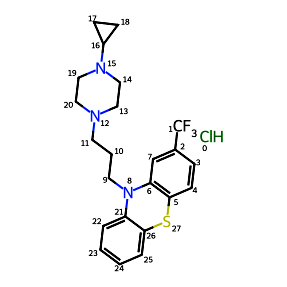 Cl.FC(F)(F)c1ccc2c(c1)N(CCCN1CCN(C3CC3)CC1)c1ccccc1S2